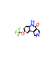 O=c1[nH]c2ccc(OC(F)(F)F)cc2c2cnccc12